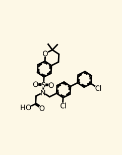 CC1(C)CCc2cc(S(=O)(=O)N(CC(=O)O)Cc3ccc(-c4cccc(Cl)c4)cc3Cl)ccc2O1